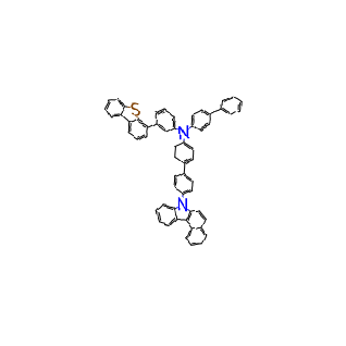 C1=C(c2ccc(-n3c4ccccc4c4c5ccccc5ccc43)cc2)CCC(N(c2ccc(-c3ccccc3)cc2)c2cccc(-c3cccc4c3sc3ccccc34)c2)=C1